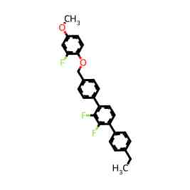 CCc1ccc(-c2ccc(-c3ccc(COc4ccc(OC)cc4F)cc3)c(F)c2F)cc1